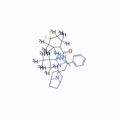 [2H]C([2H])([2H])C([2H])(c1nnc(C)n1C1CC2CCC(C1)N2CCC(NC(=O)C1C([2H])([2H])C([2H])([2H])C(F)(F)C([2H])([2H])C1([2H])[2H])c1ccccc1)C([2H])([2H])[2H]